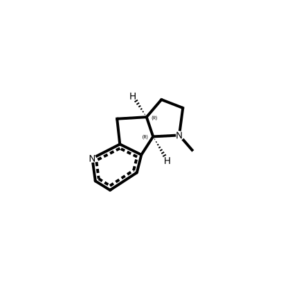 CN1CC[C@@H]2Cc3ncccc3[C@@H]21